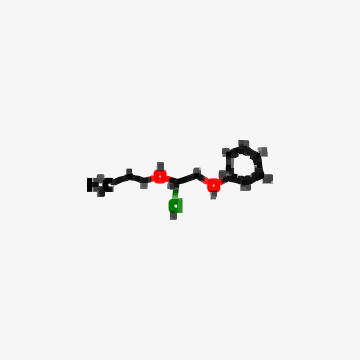 CCCOC(Cl)COc1ccccc1